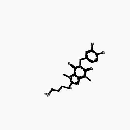 Cn1c(NCCSN)nc2c1c(=O)n(Cc1ccc(Cl)c(Cl)c1)c(=O)n2C